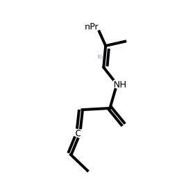 C=C(C=C=CC)N/C=C(\C)CCC